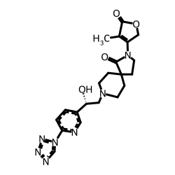 CC1=C(N2CCC3(CCN(C[C@@H](O)c4ccc(-n5cnnn5)nc4)CC3)C2=O)COC1=O